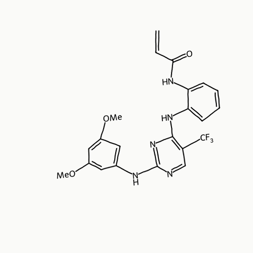 C=CC(=O)Nc1ccccc1Nc1nc(Nc2cc(OC)cc(OC)c2)ncc1C(F)(F)F